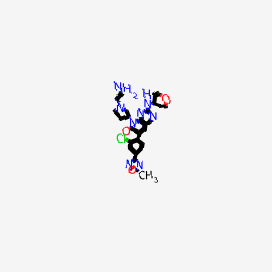 Cc1nc(-c2ccc(-c3cc4cnc(NC5CCOCC5)nc4n(C4CCN(CCN)C4)c3=O)c(Cl)c2)no1